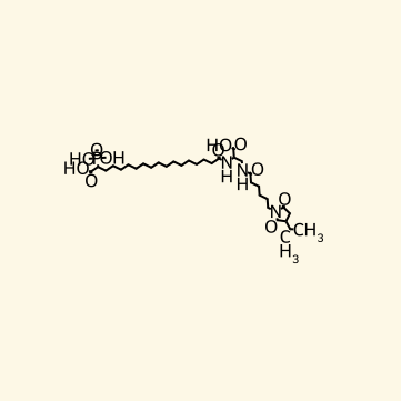 CC(C)C1CC(=O)N(CCCCCC(=O)NCC(NC(=O)CCCCCCCCCCCCCCCC(C(=O)O)P(=O)(O)O)C(=O)O)C1=O